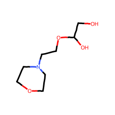 OCC(O)OCCN1CCOCC1